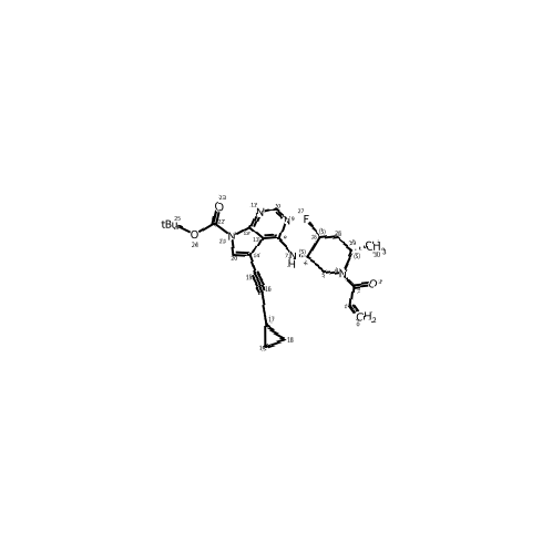 C=CC(=O)N1C[C@H](Nc2ncnc3c2c(C#CC2CC2)cn3C(=O)OC(C)(C)C)[C@@H](F)C[C@@H]1C